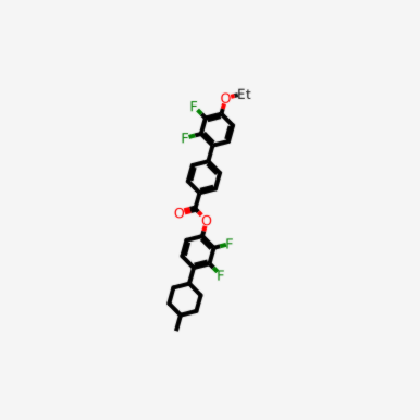 CCOc1ccc(-c2ccc(C(=O)Oc3ccc(C4CCC(C)CC4)c(F)c3F)cc2)c(F)c1F